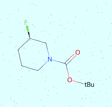 CC(C)(C)OC(=O)N1CCC[C@@H](F)C1